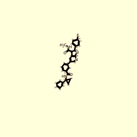 CNC(=O)C1c2cc(-c3cccc(C(=O)NC4(c5ccccc5)CC4)c3)cnc2OC1c1ccc(F)cc1